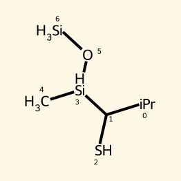 CC(C)C(S)[SiH](C)O[SiH3]